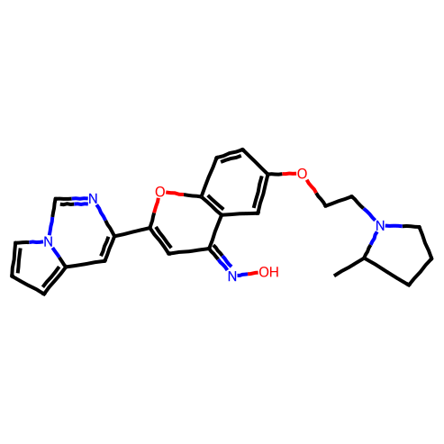 CC1CCCN1CCOc1ccc2oc(-c3cc4cccn4cn3)c/c(=N/O)c2c1